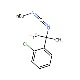 CCCCN=C=NC(C)(C)c1ccccc1Cl